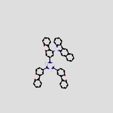 c1ccc2cc3c(cc2c1)c1ccccc1n3-c1cc(-c2nc(-c3ccc4oc5ccccc5c4c3)nc(-c3ccc4oc5ccccc5c4c3)n2)cc2oc3ccccc3c12